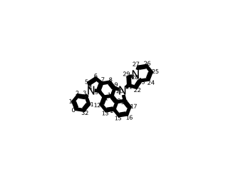 c1ccc(-n2ccc3cc4c5c(ccc6cccc(c65)n4-c4cc5ccccn5c4)c32)cc1